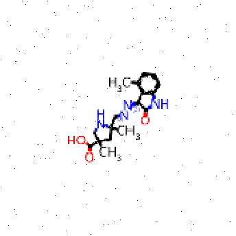 Cc1cccc2c1/C(=N/N=C/C1(C)CC(C)(C(=O)O)CN1)C(=O)N2